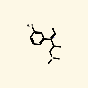 C/C=C(\c1cccc(N)c1)C(C)CN(C)C